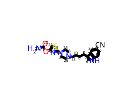 N#Cc1ccc2[nH]cc(CCCCN3CCN(c4nc(OC(N)=O)cs4)CC3)c2c1